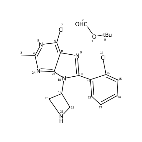 CC(C)(C)OC=O.Cc1nc(Cl)c2nc(-c3ccccc3Cl)n(C3CNC3)c2n1